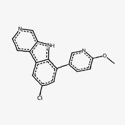 COc1ccc(-c2cc(Cl)cc3c2[nH]c2cnccc23)cn1